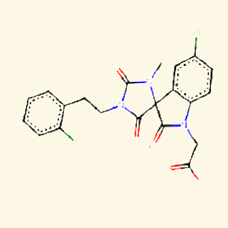 CN1C(=O)N(CCc2ccccc2F)C(=O)C12C(=O)N(CC(=O)O)c1ccc(Cl)cc12